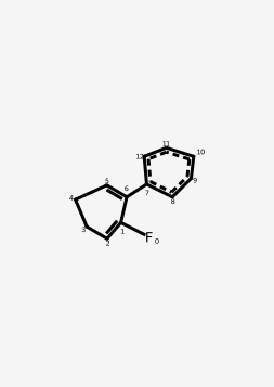 FC1=CC[CH]C=C1c1ccccc1